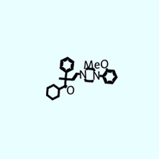 COc1ccccc1N1CCN(/C=C/C(C)(C(=O)C2CCCCC2)c2ccccc2)CC1